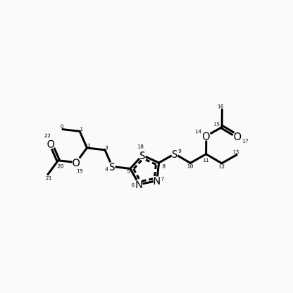 CCC(CSc1nnc(SCC(CC)OC(C)=O)s1)OC(C)=O